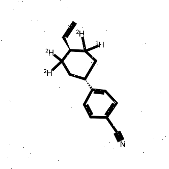 [2H]C1([2H])C[C@H](c2ccc(C#N)cc2)CC([2H])([2H])[C@H]1C=C